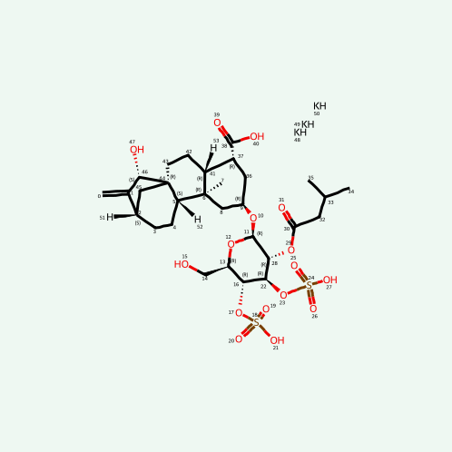 C=C1[C@H]2CC[C@H]3[C@]4(C)C[C@H](O[C@@H]5O[C@H](CO)[C@@H](OS(=O)(=O)O)[C@H](OS(=O)(=O)O)[C@H]5OC(=O)CC(C)C)C[C@@H](C(=O)O)[C@H]4CC[C@]3(C2)[C@H]1O.[KH].[KH].[KH]